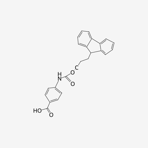 O=C(Nc1ccc(C(=O)O)cc1)OCCCC1c2ccccc2-c2ccccc21